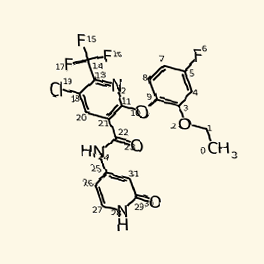 CCOc1cc(F)ccc1Oc1nc(C(F)(F)F)c(Cl)cc1C(=O)Nc1cc[nH]c(=O)c1